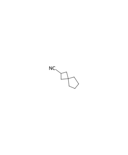 N#CC1CC2(CCCC2)C1